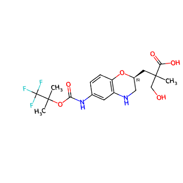 CC(CO)(C[C@H]1CNc2cc(NC(=O)OC(C)(C)C(F)(F)F)ccc2O1)C(=O)O